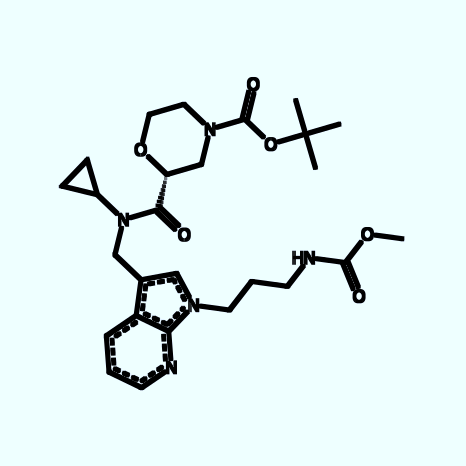 COC(=O)NCCCn1cc(CN(C(=O)[C@H]2CN(C(=O)OC(C)(C)C)CCO2)C2CC2)c2cccnc21